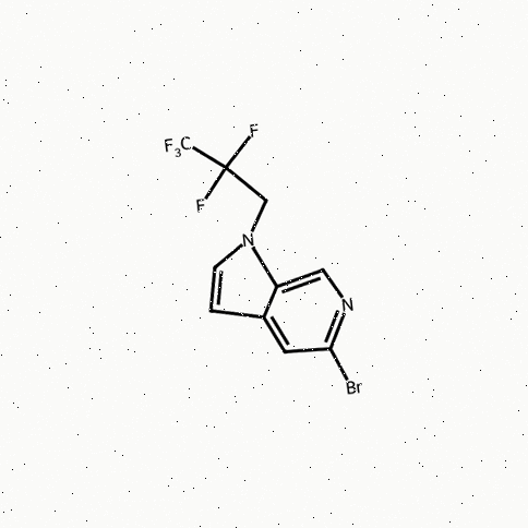 FC(F)(F)C(F)(F)Cn1ccc2cc(Br)ncc21